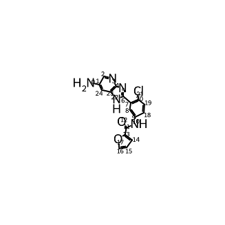 Nc1cnc2nc(-c3cc(NC(=O)c4ccco4)ccc3Cl)[nH]c2c1